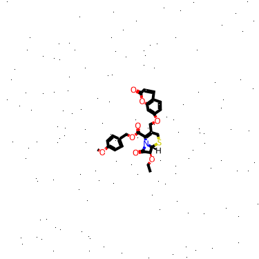 CCO[C@H]1C(=O)N2C(C(=O)OCc3ccc(OC)cc3)=C(COc3ccc4ccc(=O)oc4c3)CS[C@H]12